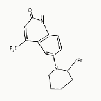 CCCC1CCCCN1c1ccc2[nH]c(=O)cc(C(F)(F)F)c2c1